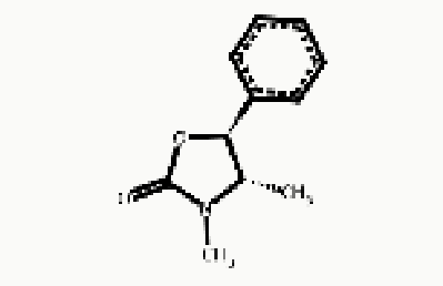 C[C@H]1[C@H](c2ccccc2)OC(=O)N1C